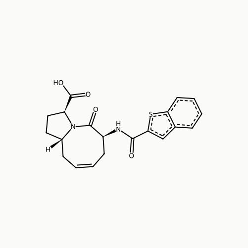 O=C(N[C@H]1C/C=C\C[C@@H]2CC[C@@H](C(=O)O)N2C1=O)c1cc2ccccc2s1